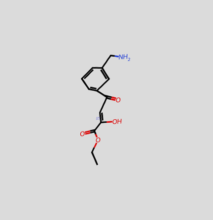 CCOC(=O)/C(O)=C/C(=O)c1cccc(CN)c1